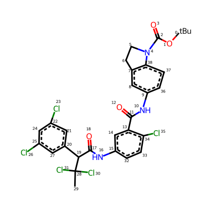 CC(C)(C)OC(=O)N1CCc2cc(NC(=O)c3cc(NC(=O)C(c4cc(Cl)cc(Cl)c4)C(C)(Cl)Cl)ccc3Cl)ccc21